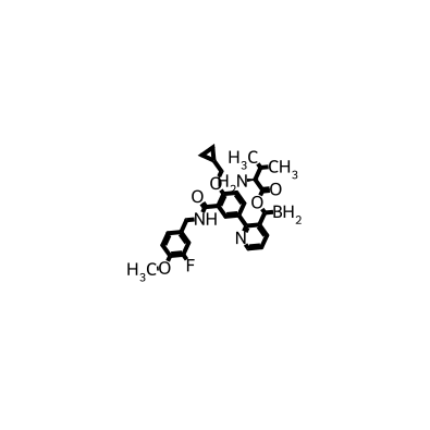 BC(OC(=O)[C@@H](N)C(C)C)c1cccnc1-c1ccc(OCC2CC2)c(C(=O)NCc2ccc(OC)c(F)c2)c1